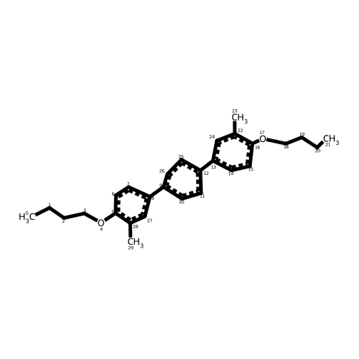 CCCCOc1ccc(-c2ccc(-c3ccc(OCCCC)c(C)c3)cc2)cc1C